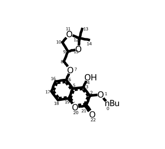 CCCCOc1c(O)c2c(OCC3COC(C)(C)O3)cccc2oc1=O